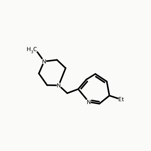 CCC1C=CC=C(CN2CCN(C)CC2)N=C1